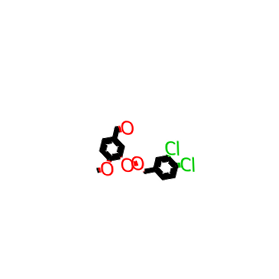 COc1ccc(C=O)cc1OOCc1ccc(Cl)c(Cl)c1